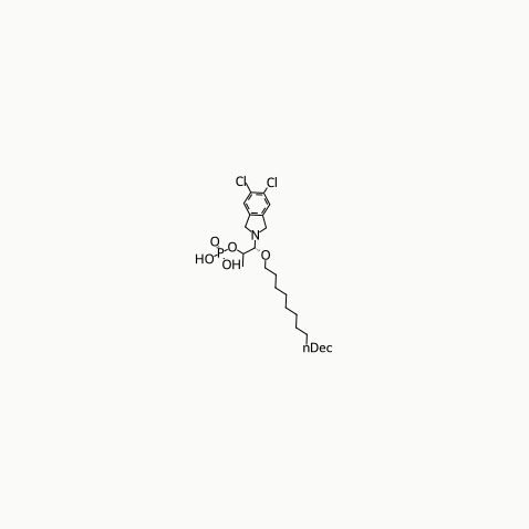 CCCCCCCCCCCCCCCCCCO[C@H](C(C)OP(=O)(O)O)N1Cc2cc(Cl)c(Cl)cc2C1